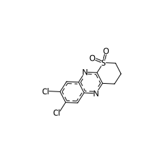 O=S1(=O)CCCc2nc3cc(Cl)c(Cl)cc3nc21